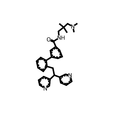 CN(C)CC(C)(C)CNC(=O)c1cccc(-c2ccccc2CC(c2cccnc2)c2cccnc2)c1